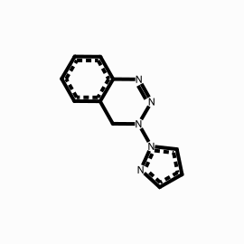 c1ccc2c(c1)CN(n1cccn1)N=N2